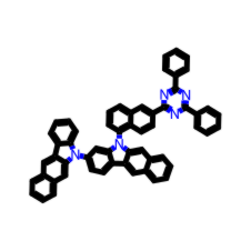 c1ccc(-c2nc(-c3ccccc3)nc(-c3ccc4c(-n5c6cc(-n7c8ccccc8c8cc9ccccc9cc87)ccc6c6cc7ccccc7cc65)cccc4c3)n2)cc1